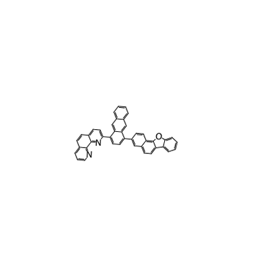 c1ccc2cc3c(-c4ccc5ccc6cccnc6c5n4)ccc(-c4ccc5c(ccc6c7ccccc7oc56)c4)c3cc2c1